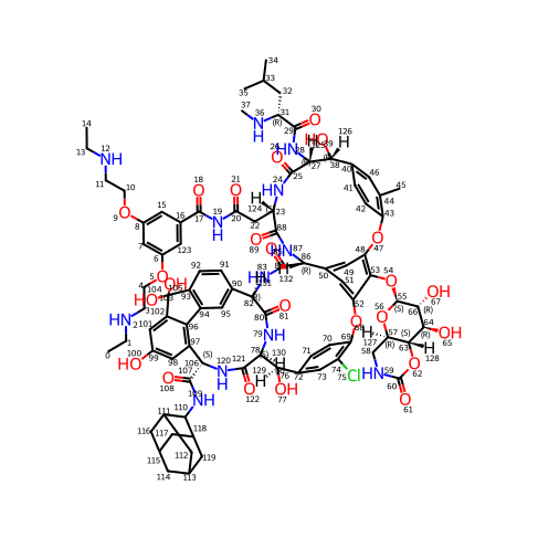 CCNCCOc1cc(OCCNCC)cc(C(=O)NC(=O)C[C@@H]2NC(=O)[C@H](NC(=O)[C@@H](CC(C)C)NC)[C@H](O)c3ccc(c(C)c3)Oc3cc4cc(c3O[C@@H]3O[C@@H]5CNC(=O)O[C@H]5[C@H](O)[C@H]3O)Oc3ccc(cc3Cl)[C@@H](O)[C@@H]3NC(=O)[C@H](NC(=O)[C@@H]4NC2=O)c2ccc4c(c2)-c2c(cc(O)cc2C4(O)O)[C@@H](C(=O)NC2C4CC5CC(C4)CC2C5)NC3=O)c1